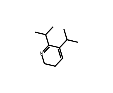 CC(C)C1=CCCN=C1C(C)C